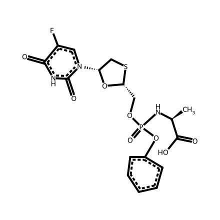 C[C@H](NP(=O)(OC[C@@H]1O[C@H](n2cc(F)c(=O)[nH]c2=O)CS1)Oc1ccccc1)C(=O)O